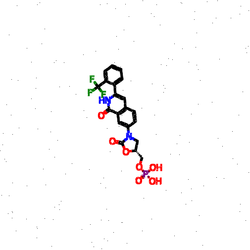 O=C1O[C@@H](COP(=O)(O)O)CN1c1ccc2cc(-c3ccccc3C(F)(F)F)[nH]c(=O)c2c1